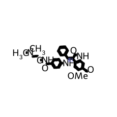 COC(=O)c1ccc2c(c1)NC(=O)/C2=C(/Nc1ccc(C(=O)NOCCN(C)C)cc1)c1ccccc1